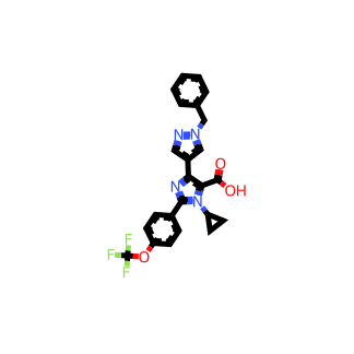 O=C(O)c1c(-c2cnn(Cc3ccccc3)c2)nc(-c2ccc(OC(F)(F)F)cc2)n1C1CC1